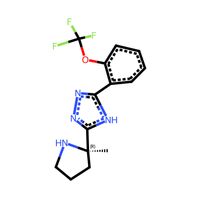 C[C@]1(c2nnc(-c3ccccc3OC(F)(F)F)[nH]2)CCCN1